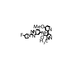 COc1ccnc(-c2cnn(C)c2C(=O)Nc2ccn3nc(N4CCC(F)C4)nc3c2)c1